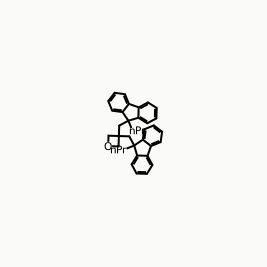 CCCC1(CC2(CC3(CCC)c4ccccc4-c4ccccc43)COC2)c2ccccc2-c2ccccc21